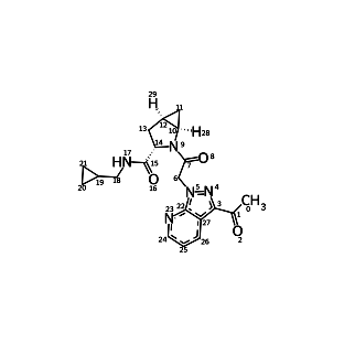 CC(=O)c1nn(CC(=O)N2[C@@H]3C[C@@H]3C[C@H]2C(=O)NCC2CC2)c2ncccc12